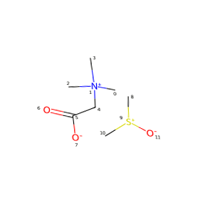 C[N+](C)(C)CC(=O)[O-].C[S+](C)[O-]